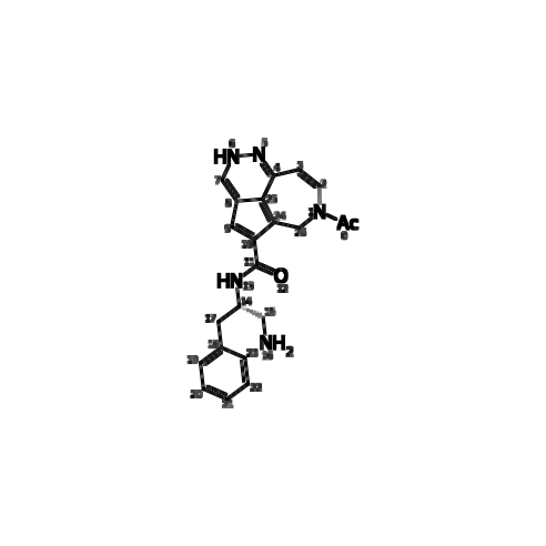 CC(=O)N1C=Cc2n[nH]cc3cc(C(=O)N[C@H](CN)Cc4ccccc4)c(c2-3)C1